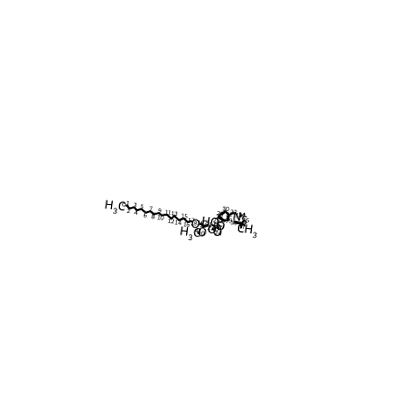 CCCCCCCCCCCCCCCCCCOCC(COP(=O)(O)Oc1cccc(C[n+]2csc(C)c2)c1)OC